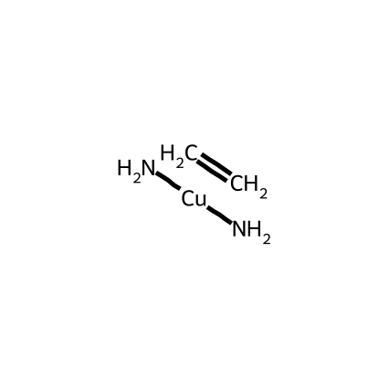 C=C.[NH2][Cu][NH2]